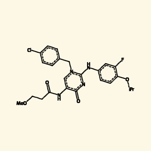 COCCC(=O)Nc1cn(Cc2ccc(Cl)cc2)c(Nc2ccc(OC(C)C)c(F)c2)nc1=O